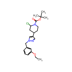 CCOc1cccc(Cn2cc(C3CCN(C(=O)OC(C)(C)C)C(Cl)C3)cn2)c1